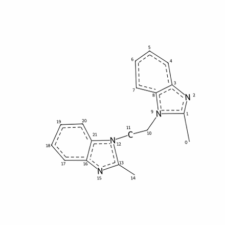 Cc1nc2ccccc2n1CCn1c(C)nc2ccccc21